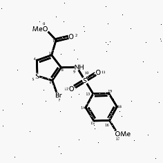 COC(=O)c1csc(Br)c1NS(=O)(=O)c1ccc(OC)cc1